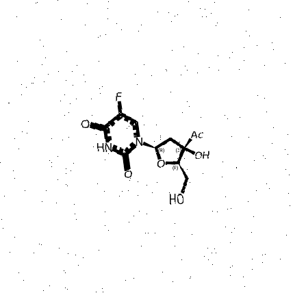 CC(=O)[C@]1(O)C[C@H](n2cc(F)c(=O)[nH]c2=O)O[C@@H]1CO